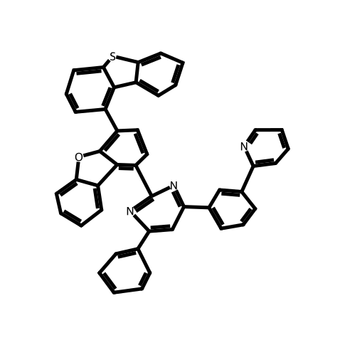 c1ccc(-c2cc(-c3cccc(-c4ccccn4)c3)nc(-c3ccc(-c4cccc5sc6ccccc6c45)c4oc5ccccc5c34)n2)cc1